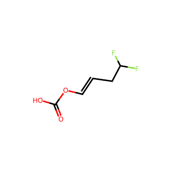 O=C(O)OC=CCC(F)F